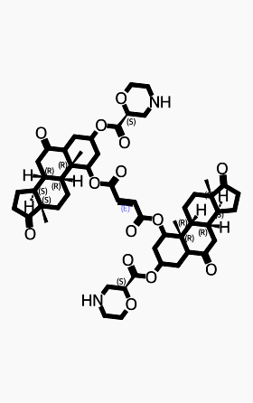 C[C@]12C(OC(=O)/C=C/C(=O)OC3CC(OC(=O)[C@@H]4CNCCO4)CC4C(=O)C[C@@H]5[C@@H](CC[C@]6(C)C(=O)CC[C@@H]56)[C@@]34C)CC(OC(=O)[C@@H]3CNCCO3)CC1C(=O)C[C@@H]1[C@H]2CC[C@]2(C)C(=O)CC[C@@H]12